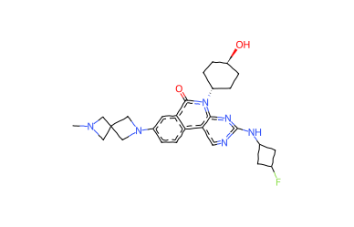 CN1CC2(C1)CN(c1ccc3c(c1)c(=O)n([C@H]1CC[C@H](O)CC1)c1nc(NC4CC(F)C4)ncc31)C2